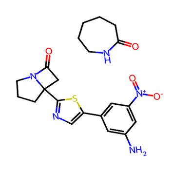 Nc1cc(-c2cnc(C34CCCN3C(=O)C4)s2)cc([N+](=O)[O-])c1.O=C1CCCCCN1